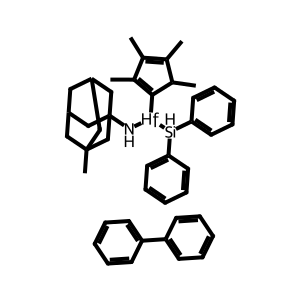 CC1=C(C)C(C)[C]([Hf]([NH]C23CC4CC(CC(C)(C4)C2)C3)[SiH](c2ccccc2)c2ccccc2)=C1C.c1ccc(-c2ccccc2)cc1